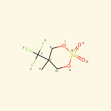 CC1(C(F)(F)F)COS(=O)(=O)OC1